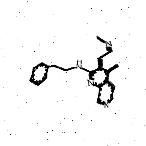 C=c1/c(=C\C=N/C)c(NCCc2ccccc2)nc2cnccc12